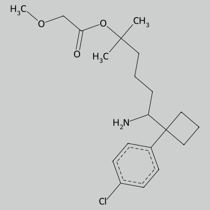 COCC(=O)OC(C)(C)CCCC(N)C1(c2ccc(Cl)cc2)CCC1